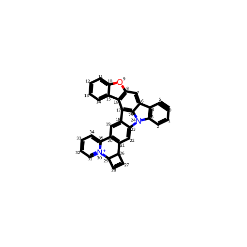 c1ccc2c(c#1)c1cc3oc4ccccc4c3c3c4cc5c(cc4n2c13)C1C=CC1[n+]1ccccc1-5